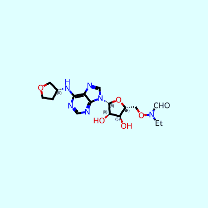 CCN(C=O)OC[C@H]1O[C@@H](n2cnc3c(N[C@@H]4CCOC4)ncnc32)[C@H](O)[C@@H]1O